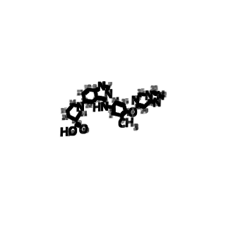 Cc1cc(Nc2ncnc3ccc(N4CCC[C@@H](C(=O)O)C4)cc23)ccc1Oc1cc2nncn2cn1